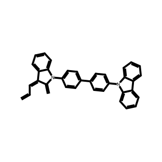 C=C/C=c1\c(=C)n(-c2ccc(-c3ccc(-n4c5ccccc5c5ccccc54)cc3)cc2)c2ccccc12